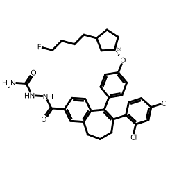 NC(=O)NNC(=O)c1ccc2c(c1)CCCC(c1ccc(Cl)cc1Cl)=C2c1ccc(O[C@H]2CCC(CCCCF)C2)cc1